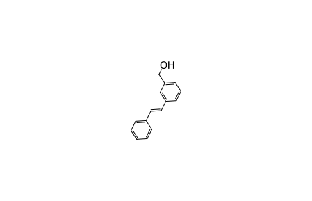 OCc1cccc(C=Cc2ccccc2)c1